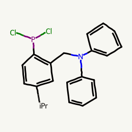 CC(C)c1ccc(P(Cl)Cl)c(CN(c2ccccc2)c2ccccc2)c1